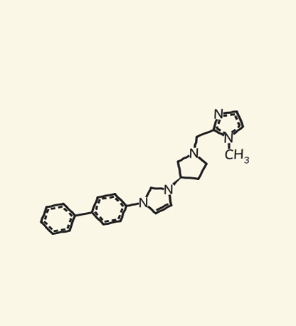 Cn1ccnc1CN1CC[C@@H](N2C=CN(c3ccc(-c4ccccc4)cc3)C2)C1